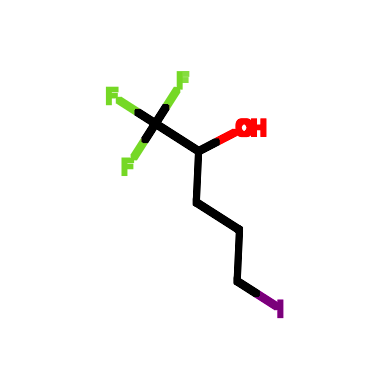 OC(CCCI)C(F)(F)F